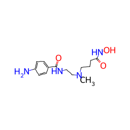 CN(CCCC(=O)NO)CCNC(=O)c1ccc(N)cc1